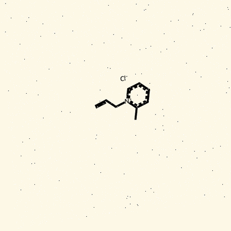 C=CC[n+]1ccccc1C.[Cl-]